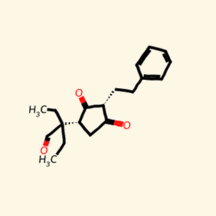 CCC(C=O)(CC)[C@H]1CC(=O)[C@@H](CCc2ccccc2)C1=O